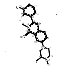 CC1CN(c2ccc3nc(-c4cccc(Cl)c4F)n(C)c(=O)c3c2)CCN1C